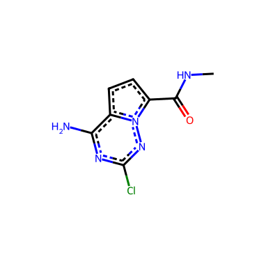 CNC(=O)c1ccc2c(N)nc(Cl)nn12